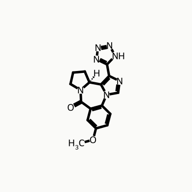 COc1ccc2c(c1)C(=O)N1CCC[C@H]1c1c(-c3nnn[nH]3)ncn1-2